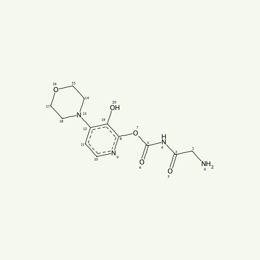 NCC(=O)NC(=O)Oc1nccc(N2CCOCC2)c1O